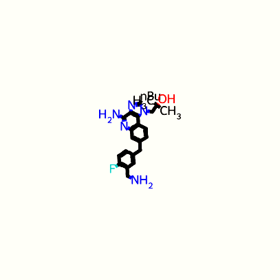 CCCCc1nc2c(N)nc3cc(Cc4ccc(F)c(CN)c4)ccc3c2n1CC(C)(C)O